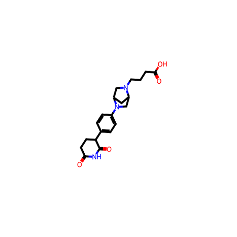 O=C(O)CCCN1CC2CC1CN2c1ccc(C2CCC(=O)NC2=O)cc1